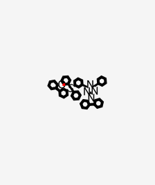 c1ccc(-c2nc(-c3cccc(S(c4ccccc4)(c4ccccc4)c4cccc5c4oc4ccccc45)c3)nc(-n3c4ccccc4c4ccccc43)n2)cc1